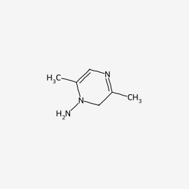 CC1=CN=C(C)CN1N